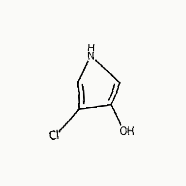 Oc1c[nH]cc1Cl